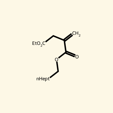 C=C(CC(=O)OCC)C(=O)OCCCCCCCC